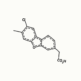 Cc1cc2oc3cc(CC(=O)O)ccc3c2cc1Cl